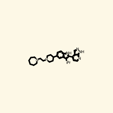 CC(C)c1c(-c2ccnc3[nH]ncc23)[nH]c2ccc(C3CCN(CCN4CCCCCC4)CC3)cc12